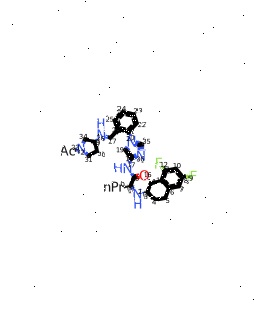 CCC[C@H](N[C@H]1CCc2cc(F)cc(F)c2C1)C(=O)Nc1cn(-c2ccccc2CN[C@@H]2CCN(C(C)=O)C2)cn1